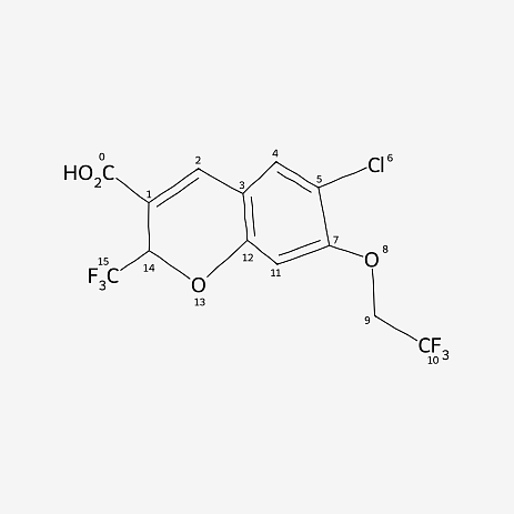 O=C(O)C1=Cc2cc(Cl)c(OCC(F)(F)F)cc2OC1C(F)(F)F